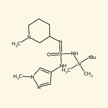 CN1CCCC(N=S(=O)(Nc2cnn(C)c2)N[Si](C)(C)C(C)(C)C)C1